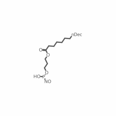 CCCCCCCCCCCCCCCCC(=O)OCCCOP(O)N=O